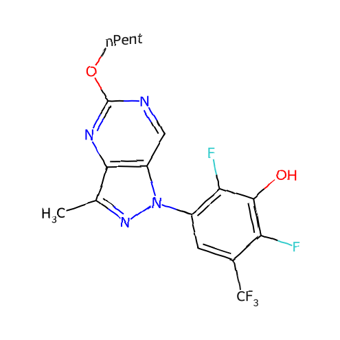 CCCCCOc1ncc2c(n1)c(C)nn2-c1cc(C(F)(F)F)c(F)c(O)c1F